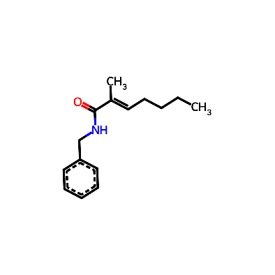 CCCCC=C(C)C(=O)NCc1ccccc1